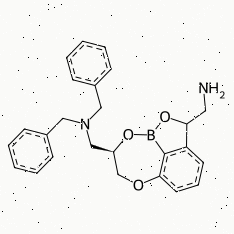 NCC1OB2O[C@H](CN(Cc3ccccc3)Cc3ccccc3)COc3cccc1c32